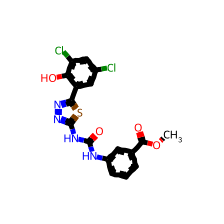 COC(=O)c1cccc(NC(=O)Nc2nnc(-c3cc(Cl)cc(Cl)c3O)s2)c1